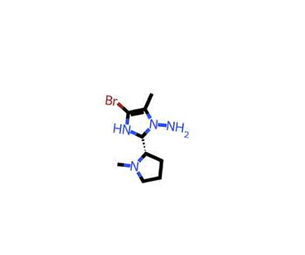 CC1=C(Br)NC([C@@H]2CCCN2C)N1N